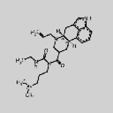 C=CCN1CC(C(=O)N(CCC[As](C)C)C(=O)NCC)C[C@@H]2c3cccc4[nH]cc(c34)C[C@H]21